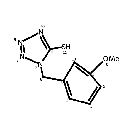 COc1cccc(Cn2nnnc2S)c1